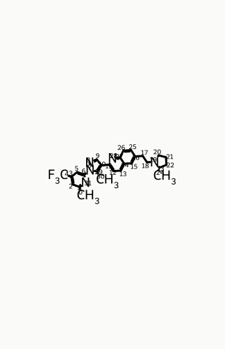 Cc1cc(C(F)(F)F)cc(-n2ncc(-c3ccc4cc(CCN5CCC[C@H]5C)ccc4n3)c2C)n1